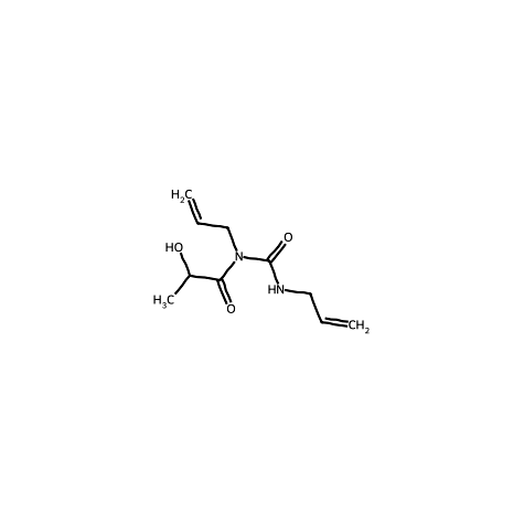 C=CCNC(=O)N(CC=C)C(=O)C(C)O